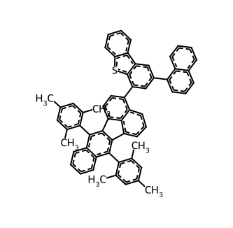 Cc1cc(C)c(-c2c3c(c(-c4c(C)cc(C)cc4C)c4ccccc24)-c2ccc(-c4cc(-c5cccc6ccccc56)cc5c4sc4ccccc45)c4cccc-3c24)c(C)c1